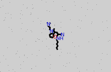 CCCCCCNC(=O)/C(C#N)=C\c1c(C)n(CCCN(C)C)c2ccccc12